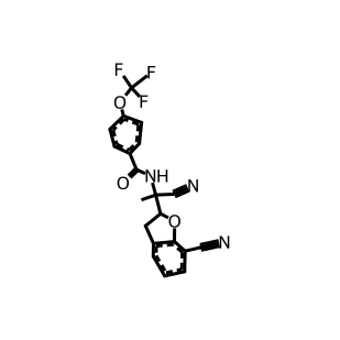 CC(C#N)(NC(=O)c1ccc(OC(F)(F)F)cc1)C1Cc2cccc(C#N)c2O1